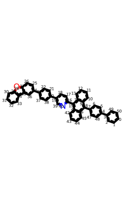 c1ccc(-c2ccc(-c3c4ccccc4c(-c4ccc(-c5ccc(-c6ccc7oc8ccccc8c7c6)cc5)cn4)c4ccccc34)cc2)cc1